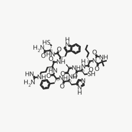 CCCC[C@@H](C(=O)N[C@@H](CS)C(=O)N[C@H](C)C(=O)N[C@@H](Cc1cnc[nH]1)C(=O)N[C@H](Cc1ccccc1)C(=O)N[C@@H](CCCNC(=N)N)C(=O)N[C@@H](Cc1c[nH]c2ccccc12)C(=O)N[C@@H](CS)C(N)=O)N1C(=O)NC(C)(C)C1=O